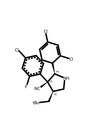 CC(C)(C)C[C@@H]1CN[C@H](C2CC=C(Cl)C=C2Cl)[C@@]1(C#N)c1ccc(Cl)cc1F